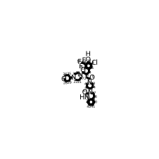 O=C(C[C@H](Cc1cc(Cl)c(O)c(C(F)(F)F)c1)C(=O)N1CCCN(C2CCOCC2)CC1)N1CCC(N2CCc3ccccc3NC2=O)CC1